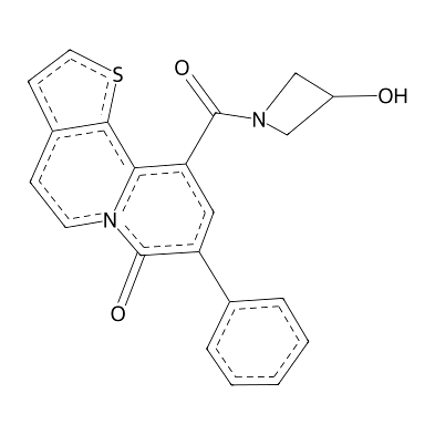 O=C(c1cc(-c2ccccc2)c(=O)n2ccc3ccsc3c12)N1CC(O)C1